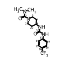 CN(C)C(=O)N1CCC(NC(=O)Nc2ccc(C(F)(F)F)cc2)CC1